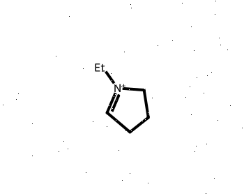 CC[N+]1=CCCC1